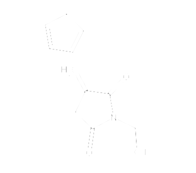 C1=CCC=C1.C=C1CC(=O)N(CC)C1=O